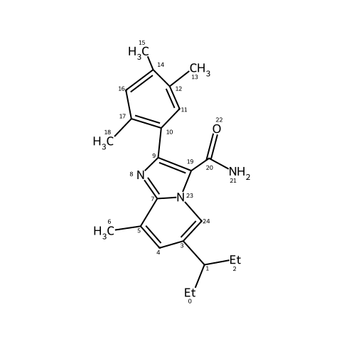 CCC(CC)c1cc(C)c2nc(-c3cc(C)c(C)cc3C)c(C(N)=O)n2c1